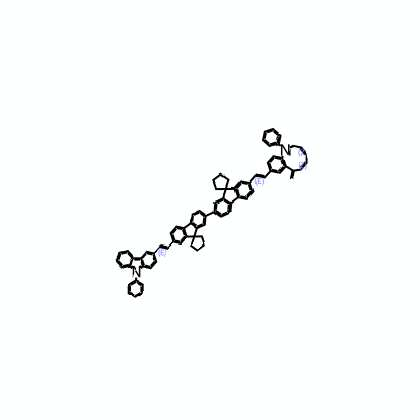 C=C1/C=C\C=C/CN(c2ccccc2)c2ccc(/C=C/c3ccc4c(c3)C3(CCCC3)c3cc(-c5ccc6c(c5)C5(CCCC5)c5cc(/C=C/c7ccc8c(c7)c7ccccc7n8-c7ccccc7)ccc5-6)ccc3-4)cc21